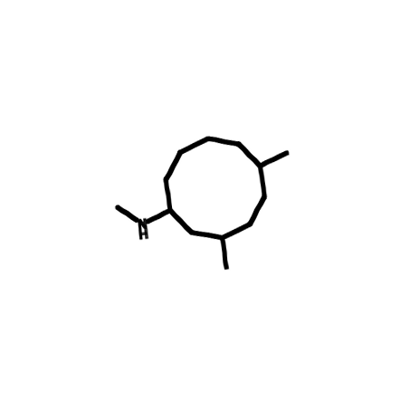 CNC1CCCCC(C)CCC(C)C1